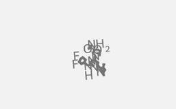 Cc1cc(C)n(-c2cc(N3CCO[C@H](C(N)=O)C3)nc(Nc3ccc(F)c(F)c3)n2)n1